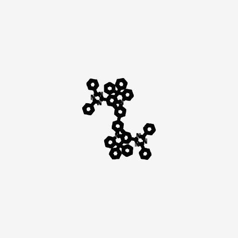 c1ccc(-c2nc(-c3ccccc3)nc(-c3cc4c5c(c3)c3cc(-c6ccc7c(c6)c6cc(-c8nc(-c9ccccc9)nc(-c9ccccc9)n8)cc8c6n7-c6ccccc6C8(c6ccccc6)c6ccccc6)ccc3n5-c3ccccc3C4(c3ccccc3)c3ccccc3)n2)cc1